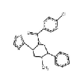 CC1CC(c2nccs2)N(C(=O)c2ccc(Cl)cc2)CC1c1ccccc1